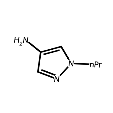 [CH2]CCn1cc(N)cn1